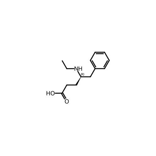 CCN[C@H](CCC(=O)O)Cc1ccccc1